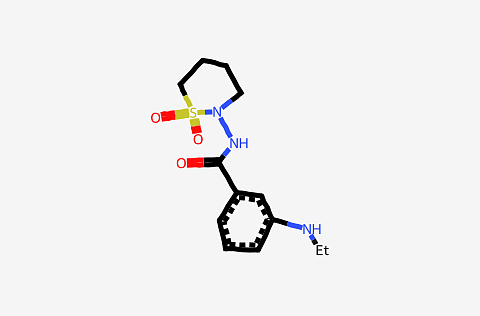 CCNc1cccc(C(=O)NN2CCCCS2(=O)=O)c1